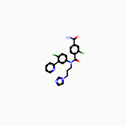 NC(=O)c1ccc(C(=O)N(CCCn2ccnc2)c2ccc(Cl)c(-c3ccccn3)c2)c(Cl)c1